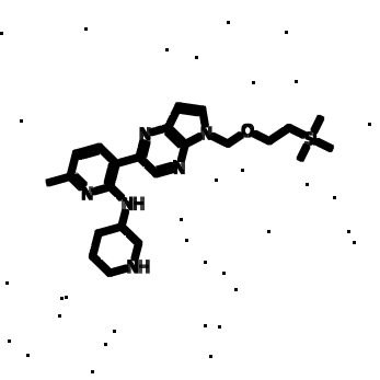 Cc1ccc(-c2cnc3c(ccn3COCC[Si](C)(C)C)n2)c(NC2CCCNC2)n1